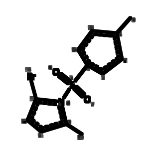 Cc1ccc(S(=O)(=O)n2c(C)ccc2Br)cc1